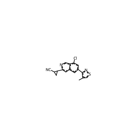 Cc1csnc1-c1cc(Cl)c2cnc(C3CC3C#N)cc2c1